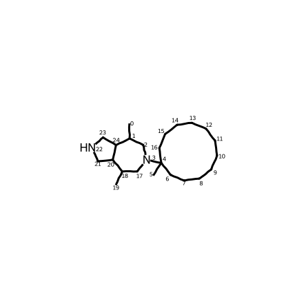 CC1CN(C2(C)CCCCCCCCCCC2)CC(C)C2CNCC12